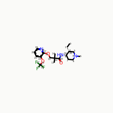 CC[C@@H]1CN(C)CC[C@@H]1NC(=O)C(C)(C)COc1ncccc1OC(F)(F)F